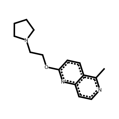 Cc1nccc2nc(OCCN3CCCC3)ccc12